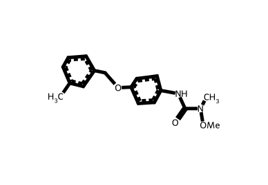 CON(C)C(=O)Nc1ccc(OCc2cccc(C)c2)cc1